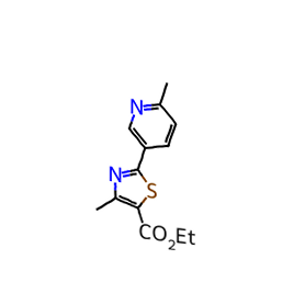 CCOC(=O)c1sc(-c2ccc(C)nc2)nc1C